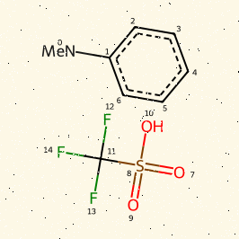 CNc1ccccc1.O=S(=O)(O)C(F)(F)F